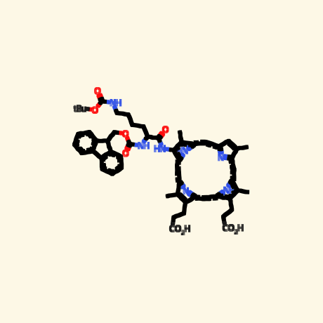 CC1=Cc2cc3[nH]c(cc4nc(cc5[nH]c(cc1n2)c(C)c5CCC(=O)O)C(CCC(=O)O)=C4C)c(NC(=O)C(CCCCNC(=O)OC(C)(C)C)NC(=O)OCC1c2ccccc2-c2ccccc21)c3C